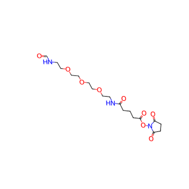 O=CNCCOCCOCCOCCNC(=O)CCCC(=O)ON1C(=O)CCC1=O